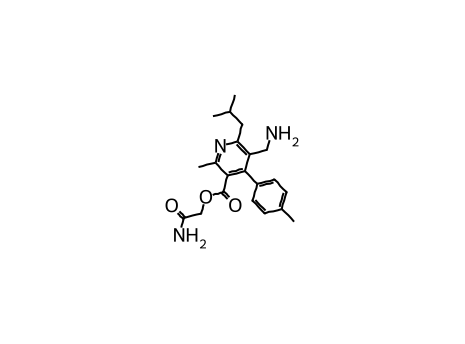 Cc1ccc(-c2c(CN)c(CC(C)C)nc(C)c2C(=O)OCC(N)=O)cc1